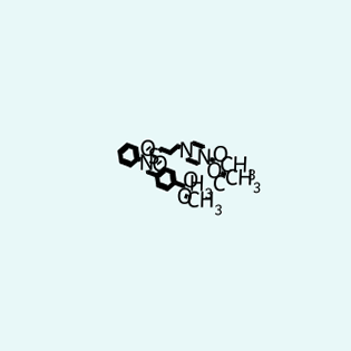 COC(=O)c1ccc(CN(c2ccccc2)S(=O)(=O)CCCN2CCN(C(=O)OC(C)(C)C)CC2)cc1